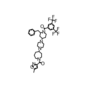 Cc1cc(C(=O)N2CCCC(N3CCN(C4CCN(C(=O)c5cc(C(F)(F)F)cc(C(F)(F)F)c5)C(Cc5ccccc5)C4)CC3)CC2)no1